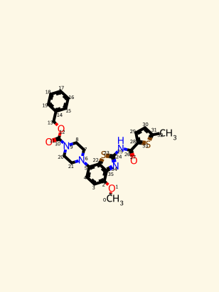 COc1ccc(N2CCN(C(=O)OCc3ccccc3)CC2)c2sc(NC(=O)c3ccc(C)s3)nc12